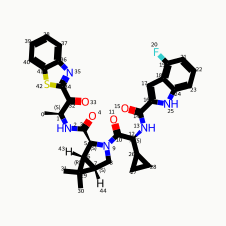 C[C@H](NC(=O)[C@@H]1[C@@H]2[C@H](CN1C(=O)[C@@H](NC(=O)c1cc3c(F)cccc3[nH]1)C1CC1)C2(C)C)C(=O)c1nc2ccccc2s1